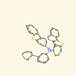 c1ccc(-c2cccc(N(c3ccc4c(c3)sc3ccccc34)c3cccc4sc5c6ccccc6ccc5c34)c2)cc1